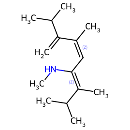 C=C(/C(C)=C\C(NC)=C(/C)C(C)C)C(C)C